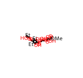 CCc1c(O)c(C(=O)OCC(O)COC(=O)C(O)C(O)C(=O)OC)c(O)c(CC)c1COOCC(O)CC